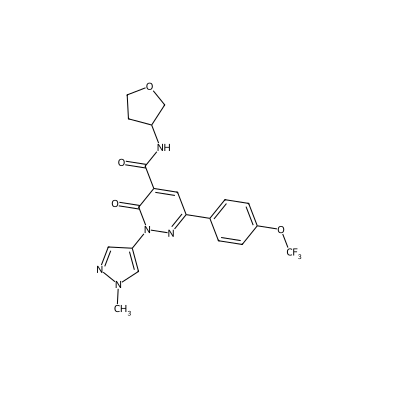 Cn1cc(-n2nc(-c3ccc(OC(F)(F)F)cc3)cc(C(=O)NC3CCOC3)c2=O)cn1